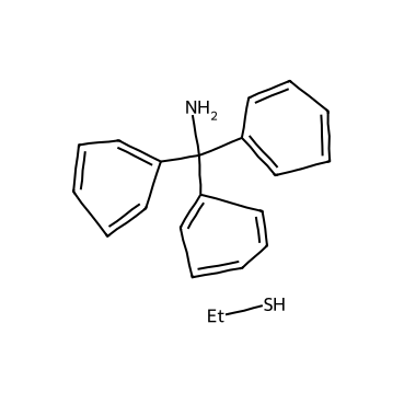 CCS.NC(c1ccccc1)(c1ccccc1)c1ccccc1